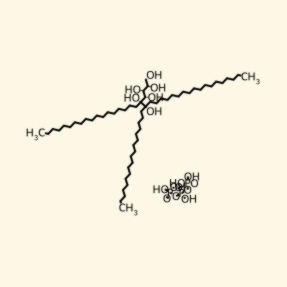 CCCCCCCCCCCCCCCCCCC(O)(CCCCCCCCCCCCCCCCCC)[C@@](O)(CCCCCCCCCCCCCCCCCC)[C@@H](O)[C@H](O)[C@H](O)CO.O=P(O)(O)OP(=O)(O)OP(=O)(O)O